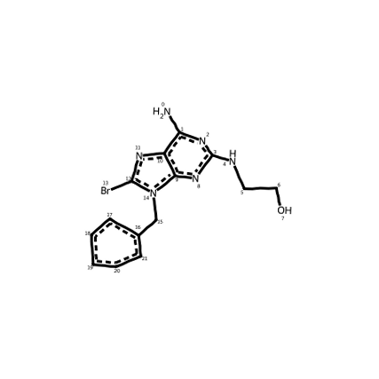 Nc1nc(NCCO)nc2c1nc(Br)n2Cc1ccccc1